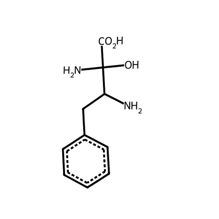 NC(Cc1ccccc1)C(N)(O)C(=O)O